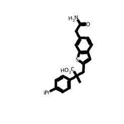 CC(C)c1ccc(C(C)(Cc2cc3ccc(CC(N)=O)cc3s2)C(=O)O)cc1